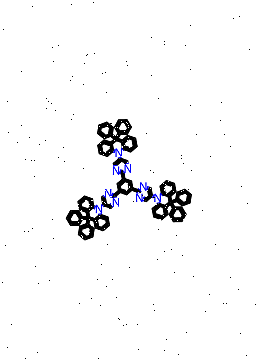 c1ccc(C2(c3ccccc3)c3ccccc3N(c3cnc(-c4cc(-c5ncc(N6c7ccccc7C(c7ccccc7)(c7ccccc7)c7ccccc76)cn5)cc(-c5ncc(N6c7ccccc7C(c7ccccc7)(c7ccccc7)c7ccccc76)cn5)c4)nc3)c3ccccc32)cc1